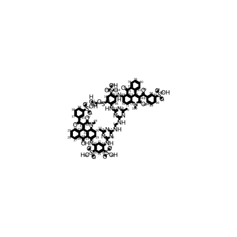 Cc1nc(NCNc2nc(C)nc(Nc3cc(Nc4ccc5c6c4C(=O)c4ccccc4-c6c(C(=O)c4cccc(S(=O)(=O)O)c4)c(=O)n5C)c(S(=O)(=O)O)cc3S(=O)(=O)O)n2)nc(Nc2cc(Nc3ccc4c5c3C(=O)c3ccccc3-c5c(C(=O)c3cccc(S(=O)(=O)O)c3)c(=O)n4C)c(S(=O)(=O)O)cc2SOOO)n1